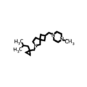 CC(C)CC1(CN2CCC3(CC(CN4CCN(C)CC4)C3)C2)CC1